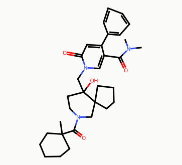 CN(C)C(=O)c1cn(CC2(O)CCN(C(=O)C3(C)CCCCC3)CC23CCCC3)c(=O)cc1-c1ccccc1